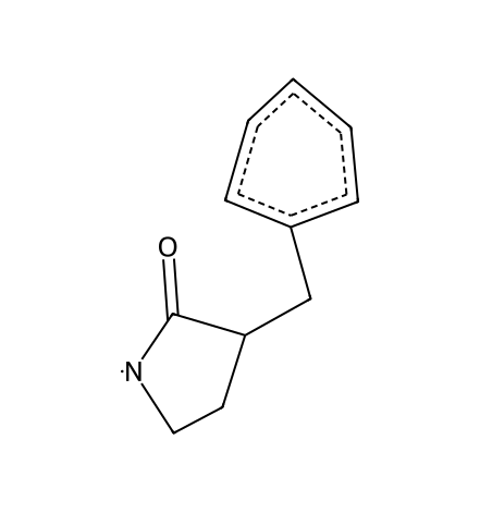 O=C1[N]CCC1Cc1ccccc1